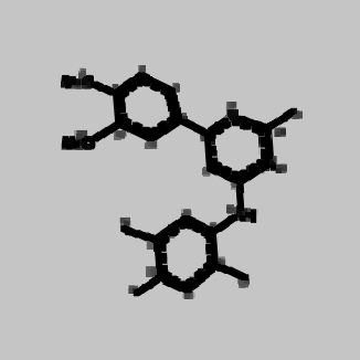 COc1ccc(-c2cc(Nc3cc(C)c(C)cc3C)nc(C)n2)cc1OC